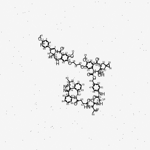 COc1ccc(C2=CN3C(=O)c4cc(OC)c(OCCCOc5cc6c(cc5OC)C(=O)N5CC7(CC7)C[C@H]5C(O)N6C(=O)OCc5ccc(NC(=O)[C@H](C)NC(=O)[C@@H](NC(=O)CCC(=O)N6Cc7ccccc7-c7c(nnn7C(C)C)-c7ccccc76)C(C)C)cc5)cc4NC[C@@H]3C2)cn1